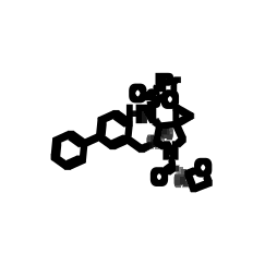 CC(C)S(=O)(=O)N[C@@H]1[C@H](Cc2cccc(-c3ccccc3)c2)N(C(=O)[C@H]2CCO2)CC12CC2